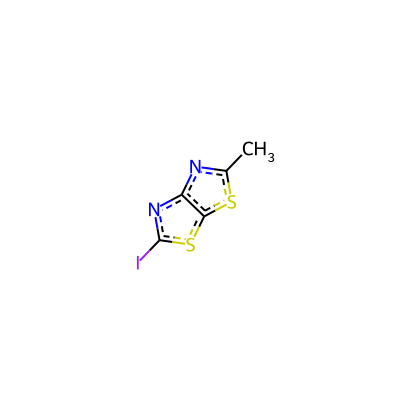 Cc1nc2nc(I)sc2s1